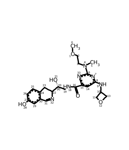 COCCN(C)c1nc(NC2COC2)cc(C(=O)NC[C@@H](O)C2Cc3ccc(O)cc3C=N2)n1